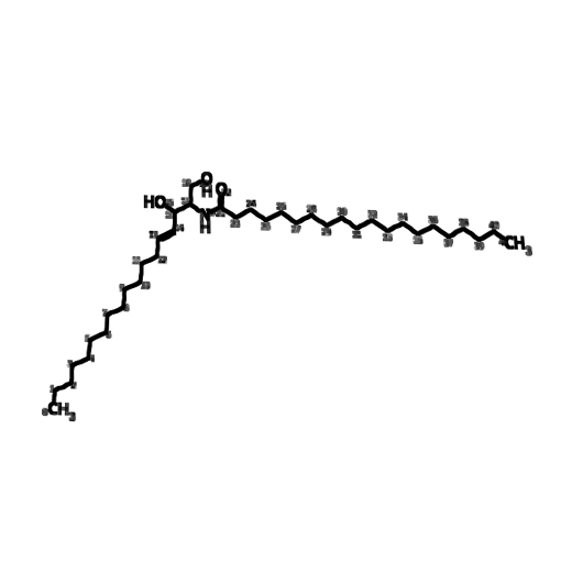 CCCCCCCCCCCCCC=CC(O)C(CO)NC(=O)CCCCCCCCCCCCCCCCCCC